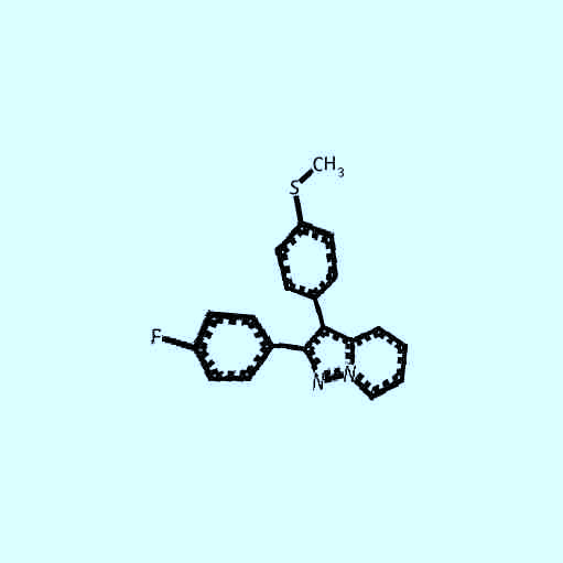 CSc1ccc(-c2c(-c3ccc(F)cc3)nn3ccccc23)cc1